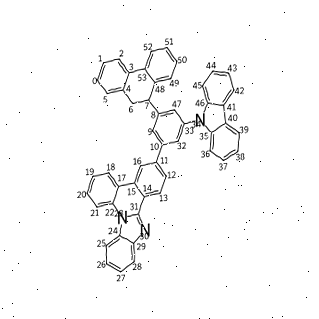 c1ccc2c(c1)CC(c1cc(-c3ccc4c(c3)c3ccccc3n3c5ccccc5nc43)cc(-n3c4ccccc4c4ccccc43)c1)c1ccccc1-2